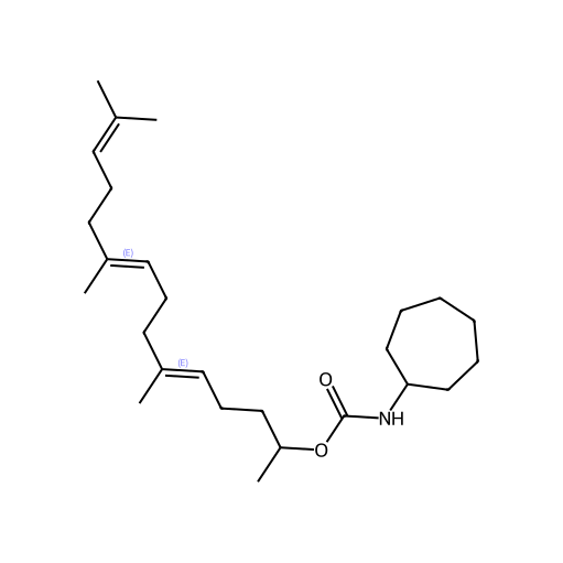 CC(C)=CCC/C(C)=C/CC/C(C)=C/CCC(C)OC(=O)NC1CCCCCC1